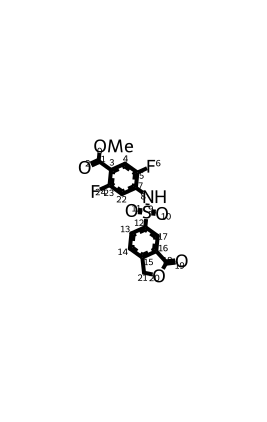 COC(=O)c1cc(F)c(NS(=O)(=O)c2ccc3c(c2)C(=O)OC3)cc1F